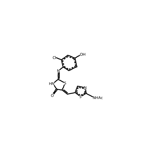 CC(=O)Nc1ncc(/C=C2\S/C(=N\c3ccc(O)cc3Cl)NC2=O)s1